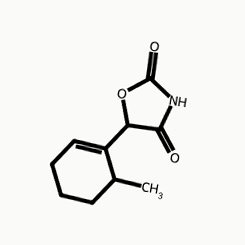 CC1CCCC=C1C1OC(=O)NC1=O